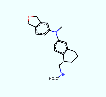 CN(c1ccc2c(c1)COC2)c1ccc2c(c1)CCC[C@H]2CNC(=O)O